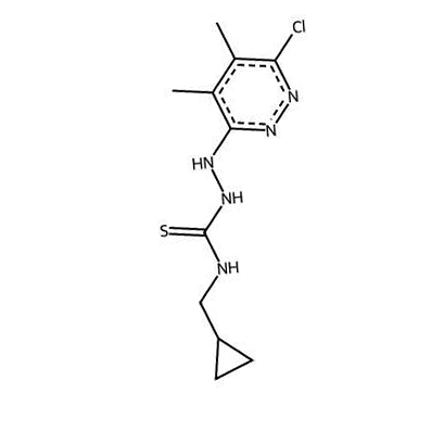 Cc1c(Cl)nnc(NNC(=S)NCC2CC2)c1C